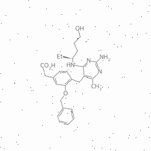 CC[C@@H](CCCO)Nc1nc(N)nc(C)c1Cc1ccc(CC(=O)O)cc1OCc1ccccc1